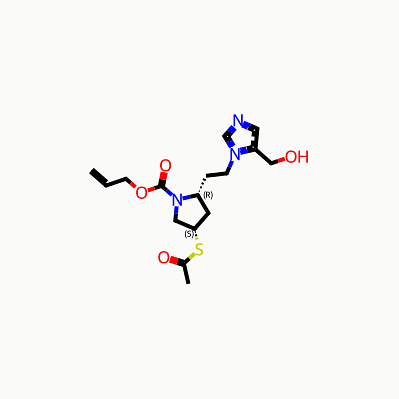 C=CCOC(=O)N1C[C@@H](SC(C)=O)C[C@H]1CCn1cncc1CO